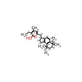 CCC(C(=O)O)=C(C)C=CCC1CCc2c1ccc1c2C(C)(C)CCC1(C)C